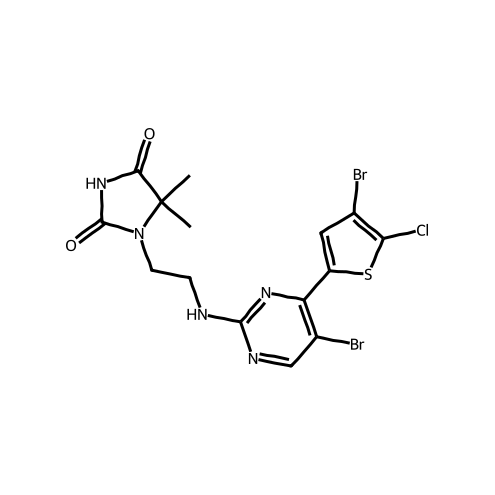 CC1(C)C(=O)NC(=O)N1CCNc1ncc(Br)c(-c2cc(Br)c(Cl)s2)n1